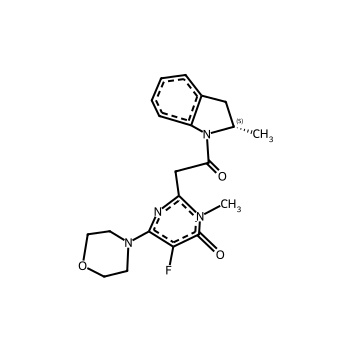 C[C@H]1Cc2ccccc2N1C(=O)Cc1nc(N2CCOCC2)c(F)c(=O)n1C